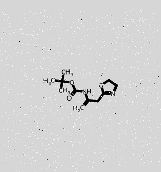 C=C(CC1=NCCO1)NC(=O)OC(C)(C)C